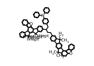 CCCCCCCC1(CCCCCCC)c2cc(C(CCc3ccc4c(c3)C(C)(C)c3cc5c(cc3-4)C(C)(C)c3ccc4oc6ccccc6c4c3-5)Cc3ccc(N(c4ccccc4)c4ccccc4)cc3)ccc2-c2c1c1c(c3c2oc2ccccc23)-c2ccccc2C1(CCCCCCC)CCCCCCC